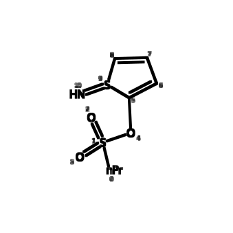 CCCS(=O)(=O)OC1=CC=CS1=N